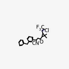 CC1(C)C(/C=C(\Cl)C(F)(F)F)C1C(=O)CC(C#N)c1cccc(Cc2ccccc2)c1